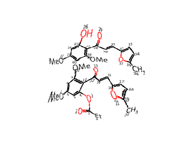 CCC(=O)Oc1cc(OC)cc(OC)c1C(=O)C=Cc1ccc(C)o1.COc1cc(O)c(C(=O)C=Cc2ccc(C)o2)c(OC)c1